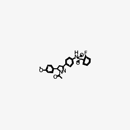 COc1ccc(C2CC(c3ccc(NS(=O)(=O)c4ccccc4F)cc3)=NN2C(C)=O)cc1